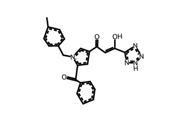 Cc1ccc(Cn2cc(C(=O)C=C(O)c3nn[nH]n3)cc2C(=O)c2ccccc2)cc1